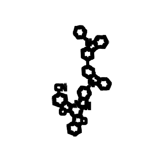 N#Cc1ccc2oc3c4c5ccccc5oc4c4nc5cc(-n6c7ccccc7c7cc(-c8ccc9c(c8)c8ccccc8n9-c8ccccc8)ccc76)ccc5n4c3c2c1